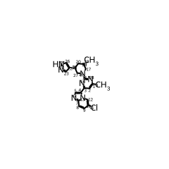 Cc1cc(-c2cnc3ccc(Cl)cn23)nc(N2C[C@@H](C)C[C@H](c3cn[nH]c3)C2)n1